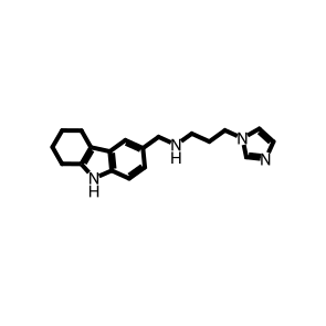 c1cn(CCCNCc2ccc3[nH]c4c(c3c2)CCCC4)cn1